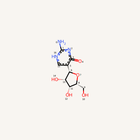 Nc1nc(=O)c([C@@H]2O[C@H](CO)[C@H](O)[C@@H]2O)c[nH]1